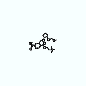 COCOC1CCCC1OCc1cc([N+](=O)[O-])ccc1C(=O)OCCS(C)(C)C